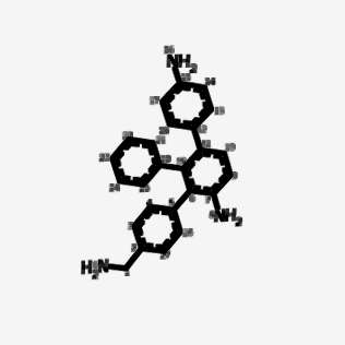 NCc1ccc(-c2c(N)ccc(-c3ccc(N)cc3)c2-c2ccccc2)cc1